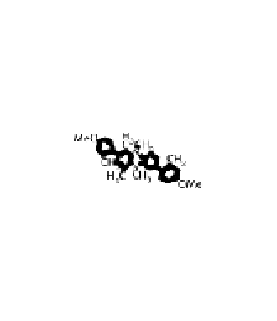 COc1ccc(-c2ccc3c(c2)N(C)c2c(C)cc(-c4ccc(OC)cc4C)c(C)c2N3C)c(C)c1